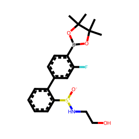 CC1(C)OB(c2ccc(-c3ccccc3[S+]([O-])NCCO)cc2F)OC1(C)C